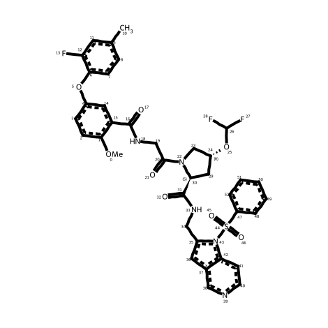 COc1ccc(Oc2ccc(C)cc2F)cc1C(=O)NCC(=O)N1C[C@H](OC(F)F)C[C@H]1C(=O)NCc1cc2cnccc2n1S(=O)(=O)c1ccccc1